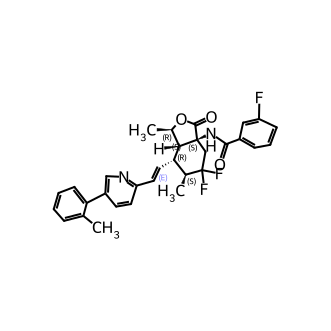 Cc1ccccc1-c1ccc(/C=C/[C@@H]2[C@@H]3[C@@H](C)OC(=O)[C@]3(NC(=O)c3cccc(F)c3)CC(F)(F)[C@H]2C)nc1